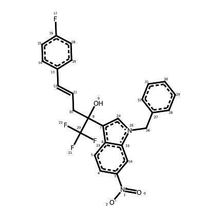 O=[N+]([O-])c1ccc2c(C(O)(CC=Cc3ccc(F)cc3)C(F)(F)F)cn(Cc3ccccc3)c2c1